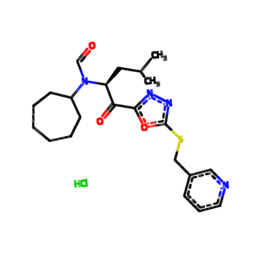 CC(C)C[C@@H](C(=O)c1nnc(SCc2cccnc2)o1)N(C=O)C1CCCCCC1.Cl